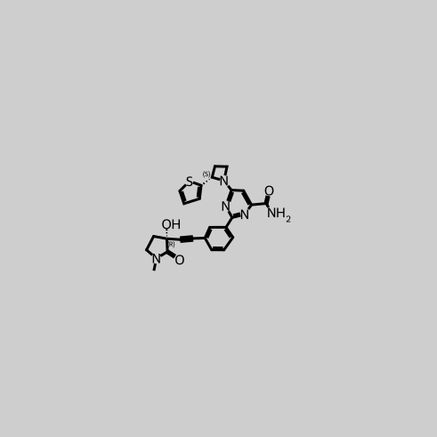 CN1CC[C@@](O)(C#Cc2cccc(-c3nc(C(N)=O)cc(N4CC[C@H]4c4cccs4)n3)c2)C1=O